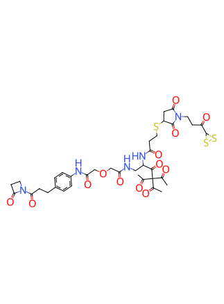 CC(=O)C(C(C)=O)(C(C)=O)C(=O)C(CNC(=O)COCC(=O)Nc1ccc(CCC(=O)N2CCC2=O)cc1)NC(=O)CCSC1CC(=O)N(CCC(=O)C2SS2)C1=O